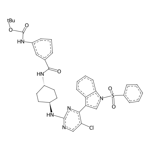 CC(C)(C)OC(=O)Nc1cccc(C(=O)N[C@H]2CC[C@H](Nc3ncc(Cl)c(-c4cn(S(=O)(=O)c5ccccc5)c5ccccc45)n3)CC2)c1